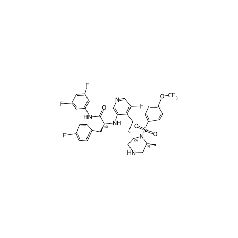 C[C@H]1CNC[C@H](CCc2c(F)cncc2N[C@@H](Cc2ccc(F)cc2)C(=O)Nc2cc(F)cc(F)c2)N1S(=O)(=O)c1ccc(OC(F)(F)F)cc1